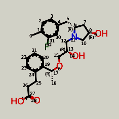 Cc1ccc(C[C@@H]2C[C@@H](O)CN2C[C@@H](O)CO[C@H](C)c2ccccc2CCC(=O)O)cc1F